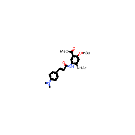 CCCCOc1cc(NC(C)=O)c(NC(=O)C=Cc2ccc(N(C)C)cc2)cc1C(=O)OC